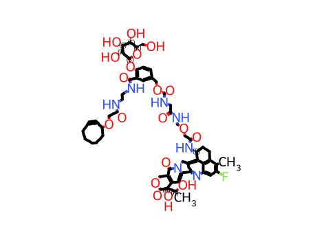 Cc1c(F)cc2nc3c(c4c2c1CC[C@@H]4NC(=O)COCNC(=O)CNC(=O)OCc1ccc(O[C@@H]2O[C@H](CO)[C@@H](O)[C@H](O)[C@H]2O)c(C(=O)NCCNC(=O)COC2C#CCCCCC2)c1)Cn1c-3cc2c(c1=O)COC(=O)[C@]2(O)[C@@H](C)O